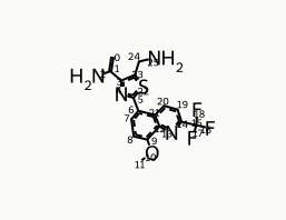 C=C(N)c1nc(-c2ccc(OC)c3nc(C(F)(F)F)ccc23)sc1CN